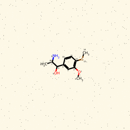 COc1cc(C(O)[C@@H](C)N)ccc1SC